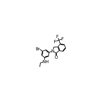 CCNc1cc(Br)cc(N2Cc3c(cccc3C(F)(F)F)C2=O)c1